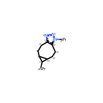 CCCC1C2CCc3nnn(C(C)C)c3CCC12